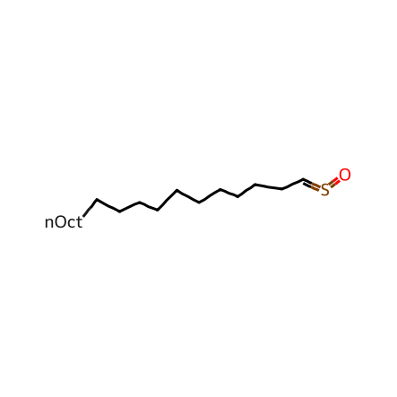 CCCCCCCCCCCCCCCCCCC=S=O